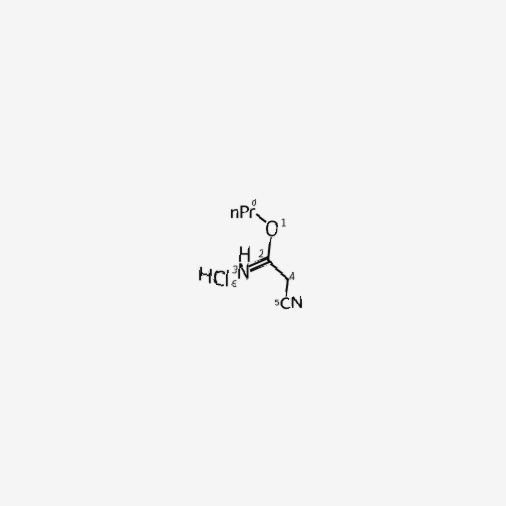 CCCOC(=N)CC#N.Cl